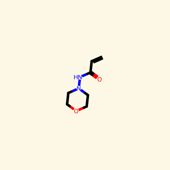 C=CC(=O)NN1CCOCC1